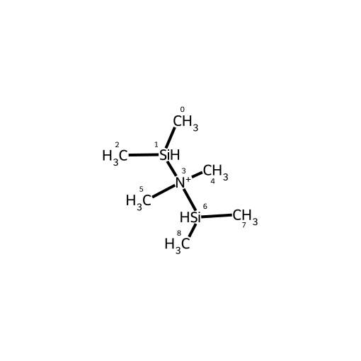 C[SiH](C)[N+](C)(C)[SiH](C)C